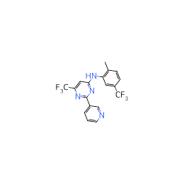 Cc1ccc(C(F)(F)F)cc1Nc1cc(C(F)(F)F)nc(-c2cccnc2)n1